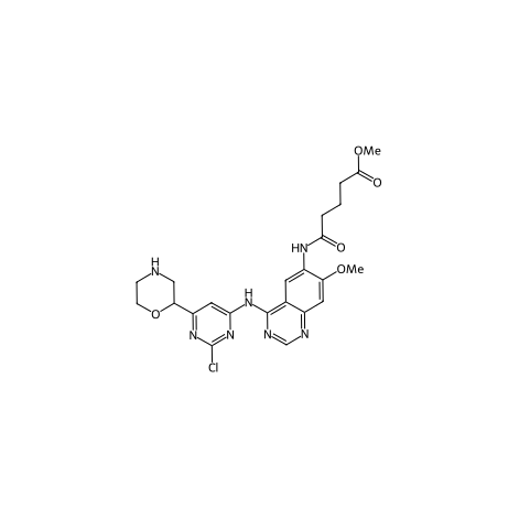 COC(=O)CCCC(=O)Nc1cc2c(Nc3cc(C4CNCCO4)nc(Cl)n3)ncnc2cc1OC